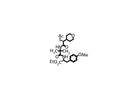 CCOC(=O)[C@H](Cc1ccc(OC)cc1)NC(=O)C(C)(C)NC(=O)[C@@H](SC(C)=O)C1CCOCC1